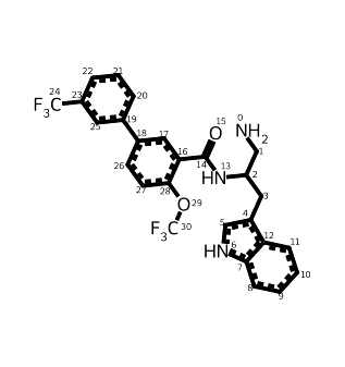 NCC(Cc1c[nH]c2ccccc12)NC(=O)c1cc(-c2cccc(C(F)(F)F)c2)ccc1OC(F)(F)F